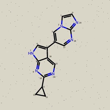 c1cn2cc(-c3c[nH]c4nc(C5CC5)ncc34)cnc2n1